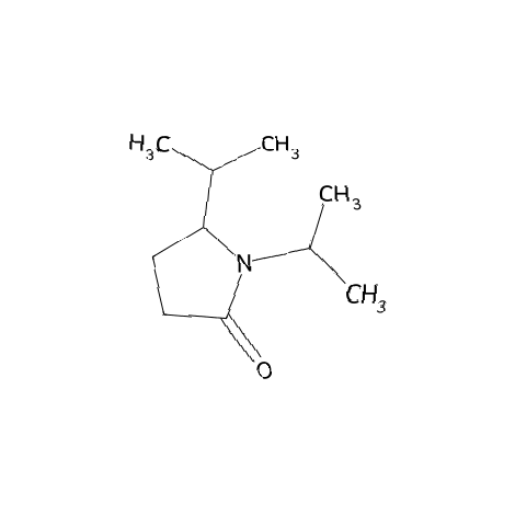 CC(C)C1CCC(=O)N1C(C)C